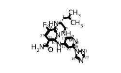 CC(C)C[C@H](CN)Nc1nc(Nc2ccnc(-n3cncn3)c2)c(C(N)=O)cc1F